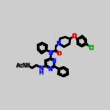 CC(=O)NCCNc1cc(N(C(=O)CN2CCC(Oc3ccc(Cl)cc3)CC2)c2ccccc2)nc(-c2ccccc2)n1